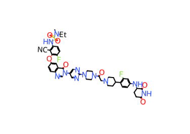 CCN(C)S(=O)(=O)Nc1ccc(F)c(Oc2ccc3ncn(-c4cnc(N5CCN(C(=O)CN6CCC(c7ccc(NC8CCC(=O)NC8=O)cc7F)CC6)CC5)nc4)c(=O)c3c2)c1C#N